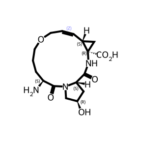 N[C@H]1CCCOC/C=C\[C@@H]2C[C@@]2(C(=O)O)NC(=O)[C@@H]2C[C@@H](O)CN2C1=O